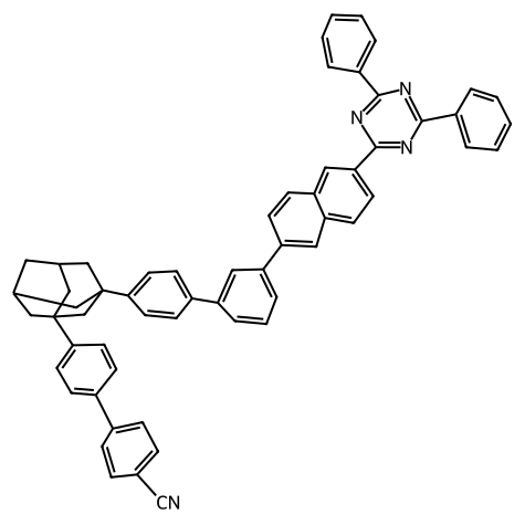 N#Cc1ccc(-c2ccc(C34CC5CC(C3)CC(c3ccc(-c6cccc(-c7ccc8cc(-c9nc(-c%10ccccc%10)nc(-c%10ccccc%10)n9)ccc8c7)c6)cc3)(C5)C4)cc2)cc1